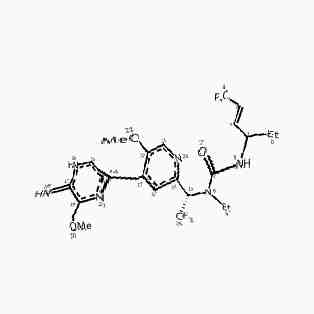 CCC(/C=C/C(F)(F)F)NC(=O)N(CC)[C@@H](c1cc(-c2c[nH]c(=N)c(OC)n2)c(OC)cn1)C(F)(F)F